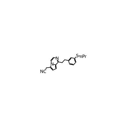 CCCSc1cccc(CCc2nccn3c(CC#N)ccc23)c1